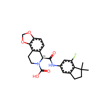 CC1(C)CCc2cc(NC(=O)[C@@H]3c4ccc5c(c4CCN3C(=O)O)OCO5)cc(F)c21